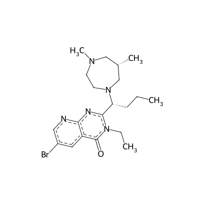 CCC[C@H](c1nc2ncc(Br)cc2c(=O)n1CC)N1CCN(C)C[C@H](C)C1